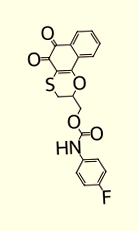 O=C(Nc1ccc(F)cc1)OCC1CSC2=C(O1)c1ccccc1C(=O)C2=O